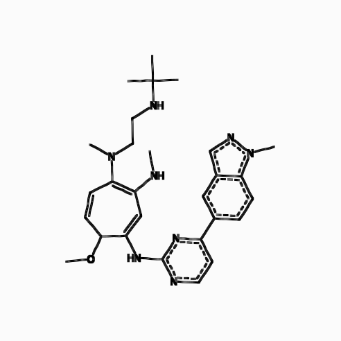 CNC1=C(N(C)CCNC(C)(C)C)C=CC(OC)C(Nc2nccc(-c3ccc4c(cnn4C)c3)n2)=C1